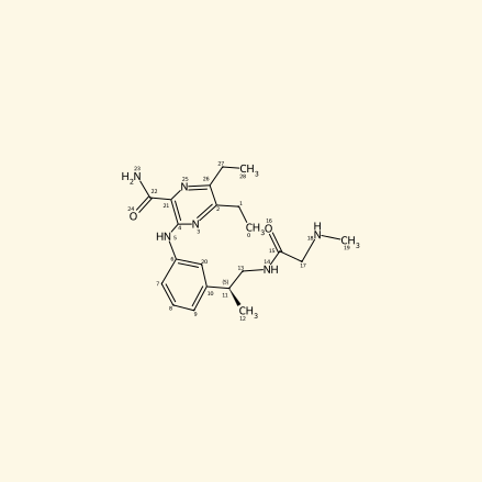 CCc1nc(Nc2cccc([C@H](C)CNC(=O)CNC)c2)c(C(N)=O)nc1CC